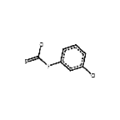 S=C(Cl)Sc1cccc(Cl)c1